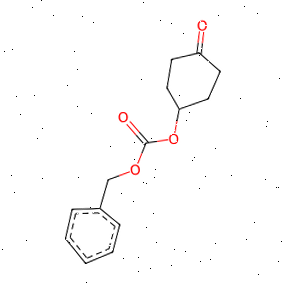 O=C1CCC(OC(=O)OCc2ccccc2)CC1